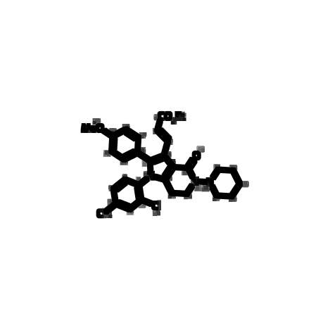 CCOC(=O)C=Cc1c2c(n(-c3ccc(Cl)cc3Cl)c1-c1ccc(OC)cc1)CCN(N1CCCCC1)C2=O